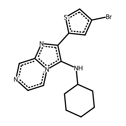 Brc1csc(-c2nc3cnccn3c2NC2CCCCC2)c1